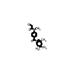 CN(C(=O)CCl)c1ccc(C(=O)N2CC3(C)CC2CC(C)(C)C3)cc1